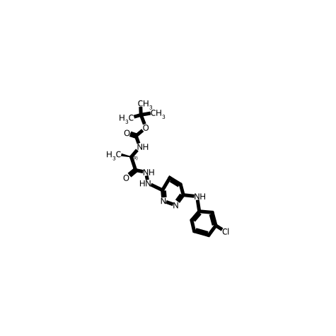 C[C@@H](NC(=O)OC(C)(C)C)C(=O)NNc1ccc(Nc2cccc(Cl)c2)nn1